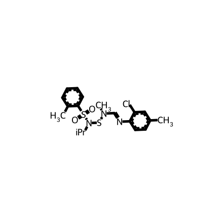 Cc1ccc(/N=C/N(C)SN(C(C)C)S(=O)(=O)c2ccccc2C)c(Cl)c1